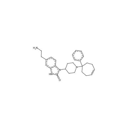 NCCc1ccc2c(c1)[nH]c(=O)n2C1CCN(C2(c3ccccc3)CCC=CCC2)CC1